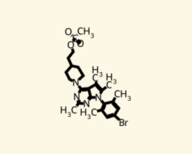 Cc1nc(N2CCC(CCOS(C)(=O)=O)CC2)c2c(C)c(C)n(-c3c(C)cc(Br)cc3C)c2n1